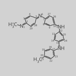 CN=C1C=CC(=Nc2ccc(Nc3ccc(Nc4ccc(C)cc4)cc3)cc2)C=C1